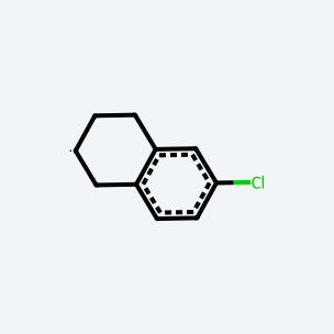 Clc1ccc2c(c1)CC[CH]C2